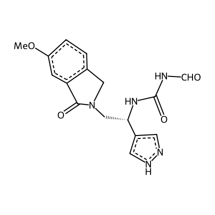 COc1ccc2c(c1)C(=O)N(C[C@H](NC(=O)NC=O)c1cn[nH]c1)C2